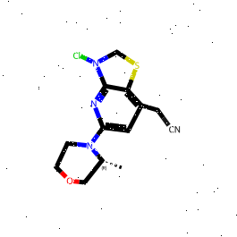 C[C@@H]1COCCN1c1cc(CC#N)c2c(n1)N(Cl)CS2